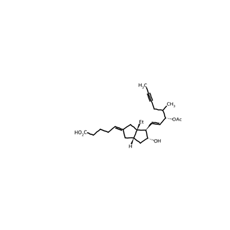 CC#CCC(C)[C@@H](/C=C/[C@H]1[C@H](O)C[C@@H]2C/C(=C\CCCC(=O)O)C[C@@]21CC)OC(C)=O